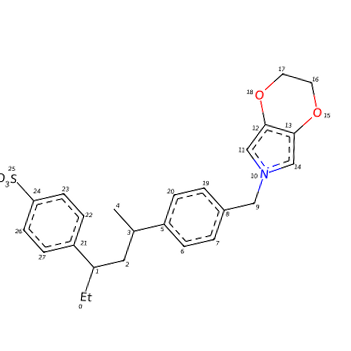 CCC(CC(C)c1ccc(Cn2cc3c(c2)OCCO3)cc1)c1ccc(S(=O)(=O)O)cc1